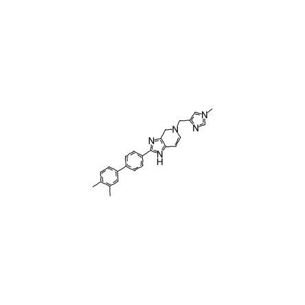 Cc1ccc(-c2ccc(-c3nc4c([nH]3)C=CN(Cc3cn(C)cn3)C4)cc2)cc1C